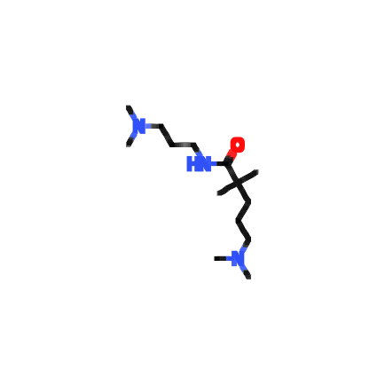 CN(C)CCCNC(=O)C(C)(C)CCCN(C)C